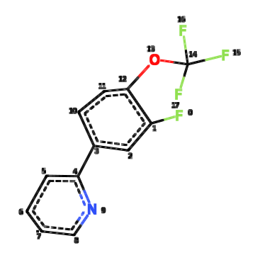 Fc1cc(-c2cc[c]cn2)ccc1OC(F)(F)F